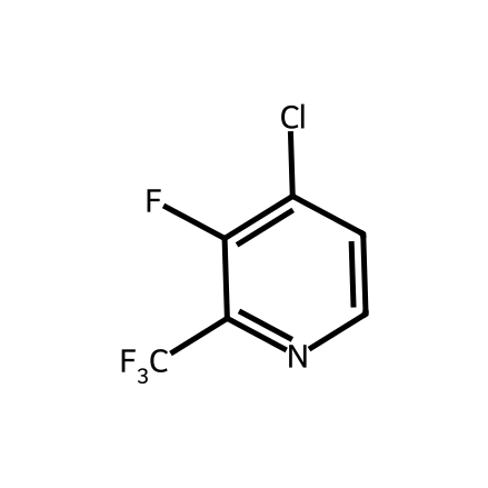 Fc1c(Cl)ccnc1C(F)(F)F